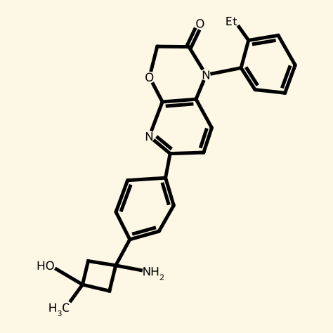 CCc1ccccc1N1C(=O)COc2nc(-c3ccc(C4(N)CC(C)(O)C4)cc3)ccc21